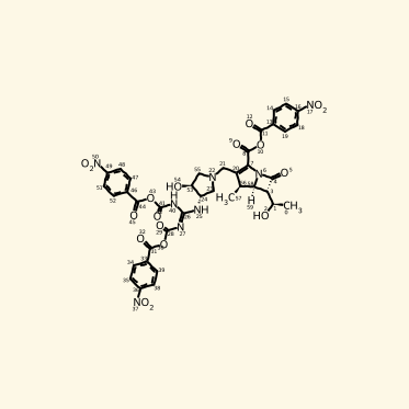 C[C@@H](O)[C@H]1C(=O)N2C(C(=O)OC(=O)c3ccc([N+](=O)[O-])cc3)=C(CN3C[C@H](N/C(=N/C(=O)OC(=O)c4ccc([N+](=O)[O-])cc4)NC(=O)OC(=O)c4ccc([N+](=O)[O-])cc4)[C@@H](O)C3)[C@H](C)[C@H]12